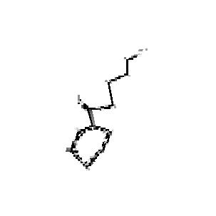 [O]CCCCC(=O)c1ccccc1